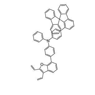 C=Cc1oc2c(-c3ccc(N(c4ccccc4)c4ccc(-c5cccc6c5C5(c7ccccc7-c7ccccc75)c5ccccc5-6)cc4)cc3)cccc2c1C=C